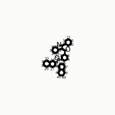 O=P(c1cccc(-c2oc3ccccc3c3nc4ccccc4c2-3)c1)(c1ccc2ccccc2c1)c1ccc2ccccc2c1